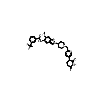 COc1cc2nn(C3CCN(Cc4ccc(C5CCC(=O)NC5=O)cn4)CC3)cc2cc1NC(=O)c1cccc(C(F)(F)F)c1